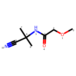 COCC(=O)NC(C)(C)C#N